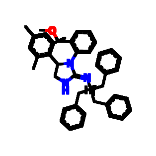 COCc1ccccc1N1C(=[N][Hf]([CH2]c2ccccc2)([CH2]c2ccccc2)[CH2]c2ccccc2)NCC1c1c(C)cc(C)cc1C